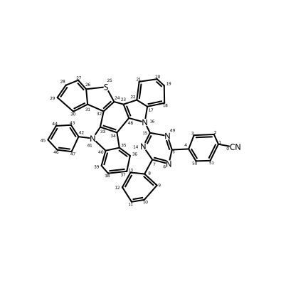 N#Cc1ccc(-c2nc(-c3ccccc3)nc(-n3c4ccccc4c4c5sc6ccccc6c5c5c(c6ccccc6n5-c5ccccc5)c43)n2)cc1